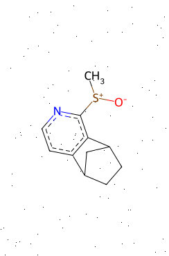 C[S+]([O-])c1nccc2c1C1CCC2C1